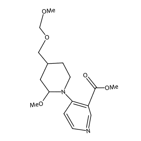 COCOCC1CCN(c2ccncc2C(=O)OC)C(OC)C1